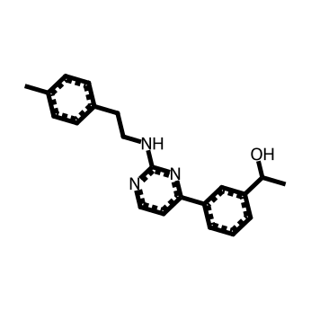 Cc1ccc(CCNc2nccc(-c3cccc(C(C)O)c3)n2)cc1